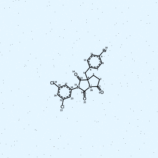 O=C1CCC2(Cc3ccc(Br)cc3)C(=O)N(c3cc(Cl)cc(Cl)c3)C(=O)N12